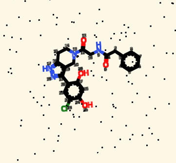 O=C(Cc1ccccc1)NCC(=O)N1CCc2[nH]nc(-c3cc(Cl)c(O)cc3O)c2C1